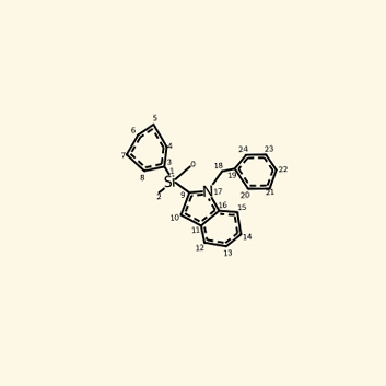 C[Si](C)(c1ccccc1)c1cc2ccccc2n1Cc1ccccc1